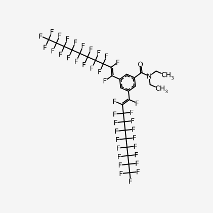 CCN(CC)C(=O)c1cc(C(F)=C(F)C(F)(F)C(F)(F)C(F)(F)C(F)(F)C(F)(F)C(F)(F)C(F)(F)C(F)(F)F)cc(C(F)=C(F)C(F)(F)C(F)(F)C(F)(F)C(F)(F)C(F)(F)C(F)(F)C(F)(F)C(F)(F)F)c1